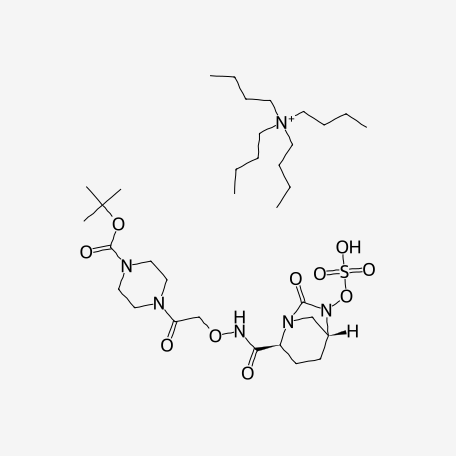 CC(C)(C)OC(=O)N1CCN(C(=O)CONC(=O)[C@@H]2CC[C@@H]3CN2C(=O)N3OS(=O)(=O)O)CC1.CCCC[N+](CCCC)(CCCC)CCCC